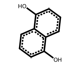 Oc1[c]ccc2c(O)[c]ccc12